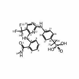 CNC(=O)c1ccccc1Nc1nc(Nc2ccc(C(C)(C)P(=O)(O)O)cc2)ncc1C(F)(F)F